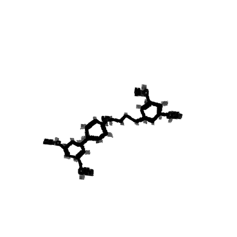 COc1cc(CCCNc2ccc(-c3cc(OC)cc(OC)c3)cc2)cc(OC)c1